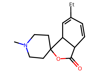 CCC1=CC2C(C=C1)C(=O)OC21CCN(C)CC1